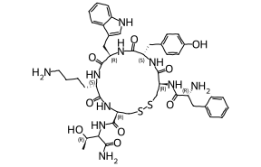 C[C@@H](O)C(NC(=O)[C@@H]1CSSC[C@H](NC(=O)[C@H](N)Cc2ccccc2)C(=O)N[C@@H](Cc2ccc(O)cc2)C(=O)N[C@H](Cc2c[nH]c3ccccc23)C(=O)N[C@@H](CCCCN)C(=O)N1)C(N)=O